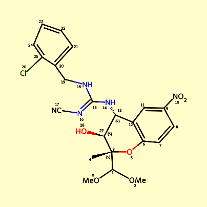 COC(OC)[C@@]1(C)Oc2ccc([N+](=O)[O-])cc2[C@@H](NC(=NC#N)NCc2ccccc2Cl)[C@@H]1O